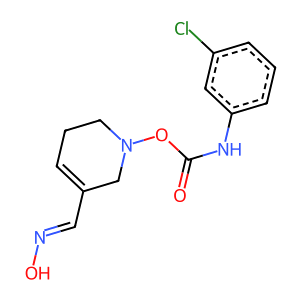 O=C(Nc1cccc(Cl)c1)ON1CCC=C(C=NO)C1